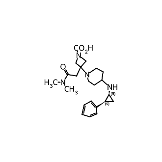 CN(C)C(=O)CC1(N2CCC(N[C@@H]3C[C@H]3c3ccccc3)CC2)CN(C(=O)O)C1